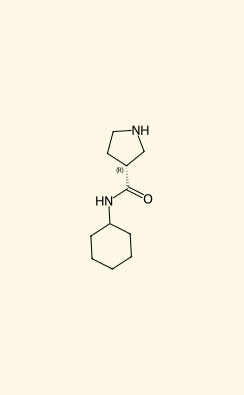 O=C(NC1CCCCC1)[C@@H]1CCNC1